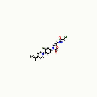 CC(C#N)=C1CCN(c2ccc(N3CC(CNC(=O)CCl)OC3=O)cc2F)CC1